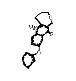 O=c1c2c([nH]c3ccc(Oc4ccccc4)cc13)CCCCC2